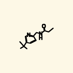 CCC(=O)NCc1ccc(C(C)(C)C)cn1